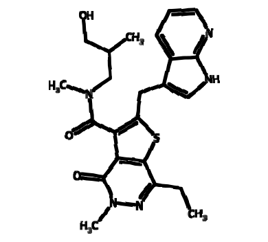 CCc1nn(C)c(=O)c2c(C(=O)N(C)CC(C)CO)c(Cc3c[nH]c4ncccc34)sc12